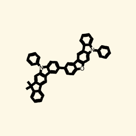 CC1(C)c2ccccc2-c2cc3c4cc(-c5ccc6oc7cc8c(cc7c6c5)c5ccccc5n8-c5ccccc5)ccc4n(-c4ccccc4)c3cc21